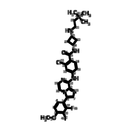 COc1ccc(-c2cnc3c(Nc4ccc(C(=O)N[C@H]5C[C@@H](NCC[N+](C)(C)C)C5)c(Cl)c4)nccn23)c(F)c1F